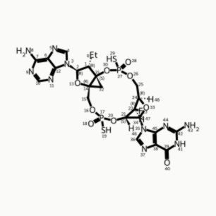 CC[C@H]1[C@H](n2cnc3c(N)ncnc32)O[C@]23COP(=O)(S)O[C@@H]4[C@H](F)[C@@H](COP(=O)(S)O[C@@]12C3)O[C@H]4n1cnc2c(=O)[nH]c(N)nc21